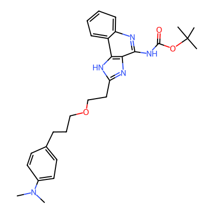 CN(C)c1ccc(CCCOCCc2nc3c(NC(=O)OC(C)(C)C)nc4ccccc4c3[nH]2)cc1